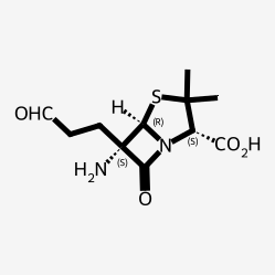 CC1(C)S[C@H]2N(C(=O)[C@@]2(N)CCC=O)[C@H]1C(=O)O